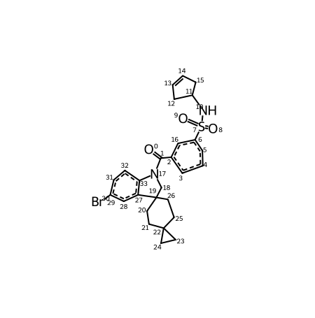 O=C(c1cccc(S(=O)(=O)NC2CC=CC2)c1)N1CC2(CCC3(CC3)CC2)c2cc(Br)ccc21